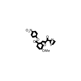 COc1ccc(C(=O)Oc2ccc([N+](=O)[O-])cc2)c2cc(C(=O)c3nccs3)oc12